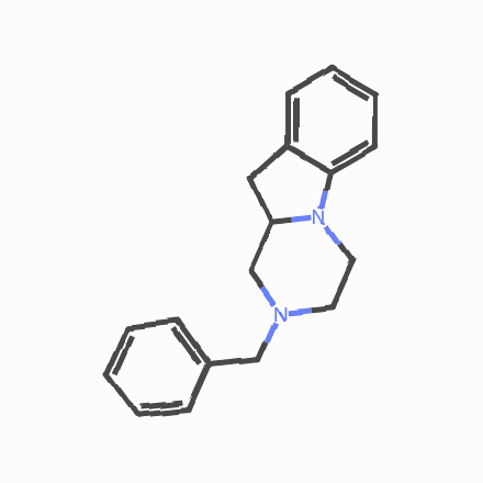 c1ccc(CN2CCN3c4ccccc4CC3C2)cc1